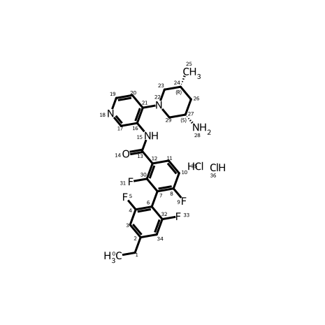 CCc1cc(F)c(-c2c(F)ccc(C(=O)Nc3cnccc3N3C[C@H](C)C[C@H](N)C3)c2F)c(F)c1.Cl.Cl